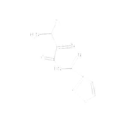 CCC(N)c1nnc(-c2ccsc2)[nH]c1=O